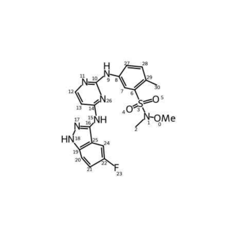 CON(C)S(=O)(=O)c1cc(Nc2nccc(Nc3n[nH]c4ccc(F)cc34)n2)ccc1C